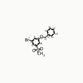 CS(=O)(=O)c1cc(Br)cc(OCc2ccccc2)c1